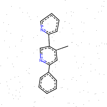 Cc1cc(-c2ccccc2)ncc1-c1ccccn1